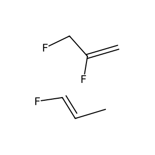 C=C(F)CF.CC=CF